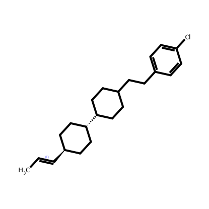 C/C=C/[C@H]1CC[C@H](C2CCC(CCc3ccc(Cl)cc3)CC2)CC1